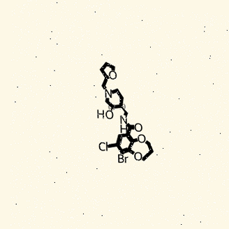 O=C(NC[C@@H]1CCN(CC2CCCO2)C[C@H]1O)c1cc(Cl)c(Br)c2c1OCCCO2